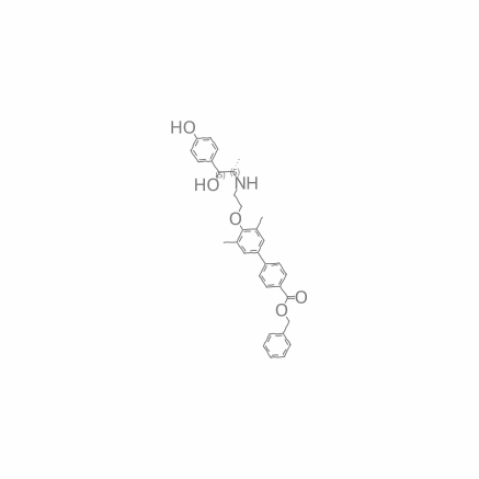 Cc1cc(-c2ccc(C(=O)OCc3ccccc3)cc2)cc(C)c1OCCN[C@@H](C)[C@@H](O)c1ccc(O)cc1